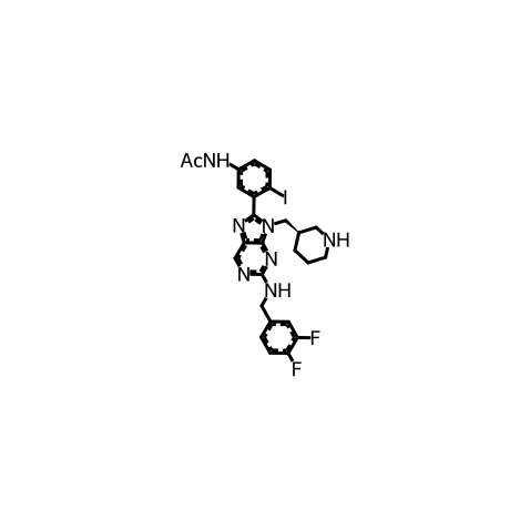 CC(=O)Nc1ccc(I)c(-c2nc3cnc(NCc4ccc(F)c(F)c4)nc3n2C[C@@H]2CCCNC2)c1